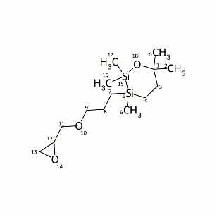 CC1(C)CC[Si](C)(CCCOCC2CO2)[Si](C)(C)O1